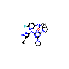 C[C@@]1(C(=O)Nc2ccc(F)nc2)CCCN1c1nc(Nc2cc(C3CC3)[nH]n2)nc(N2CCCC2)n1